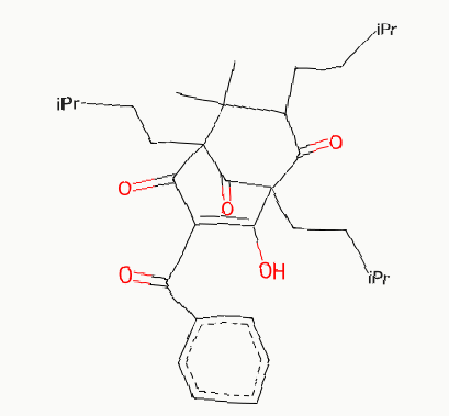 CC(C)CCC1C(=O)C2(CCC(C)C)C(=O)C(CCC(C)C)(C(=O)C(C(=O)c3ccccc3)=C2O)C1(C)C